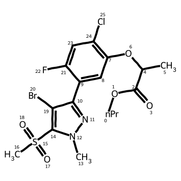 CCCOC(=O)C(C)Oc1cc(-c2nn(C)c(S(C)(=O)=O)c2Br)c(F)cc1Cl